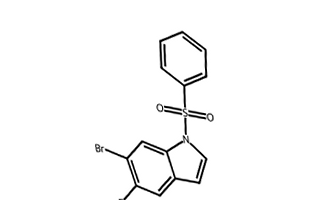 O=S(=O)(c1ccccc1)n1ccc2cc(F)c(Br)cc21